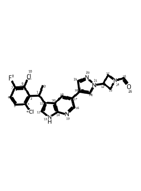 CC(c1c(Cl)ccc(F)c1Cl)c1c[nH]c2ncc(-c3cnn(C4CN(C=O)C4)c3)cc12